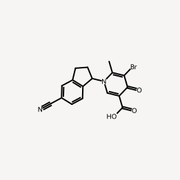 Cc1c(Br)c(=O)c(C(=O)O)cn1C1CCc2cc(C#N)ccc21